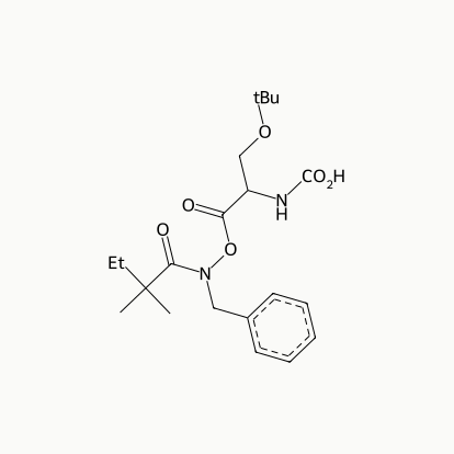 CCC(C)(C)C(=O)N(Cc1ccccc1)OC(=O)C(COC(C)(C)C)NC(=O)O